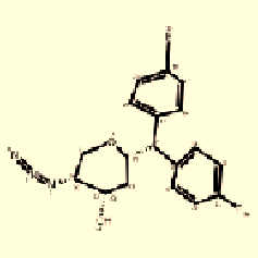 [N-]=[N+]=N[C@@H]1CO[C@H](C(c2ccc(F)cc2)c2ccc(F)cc2)C[C@@H]1O